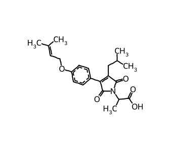 CC(C)=CCOc1ccc(C2=C(CC(C)C)C(=O)N(C(C)C(=O)O)C2=O)cc1